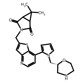 CC1(C)C2C(=O)N(Cc3cc4nccc(-c5cccn5C[C@H]5CNCCO5)c4s3)C(=O)C21